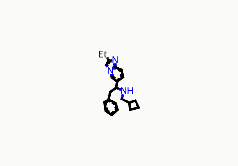 CCc1cn2cc(C(Cc3ccccc3)NCC3CCC3)ccc2n1